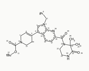 CC(C)Cn1cc(C2=CCN(C(=O)OC(C)(C)C)CC2)c2ccc(C(=O)N3CCNC(=O)C3(C)C)nc21